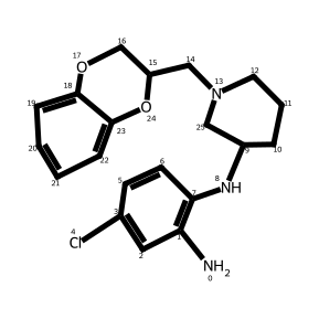 Nc1cc(Cl)ccc1NC1CCCN(CC2COc3ccccc3O2)C1